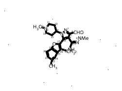 CN/N=C(/N)c1c(C=O)nn(C2CCN(C)CC2)c1-c1oc2ccc(C)cc2c1C